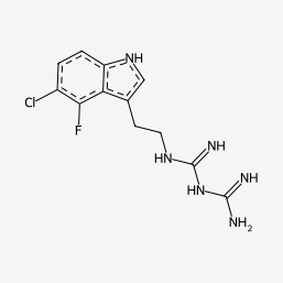 N=C(N)NC(=N)NCCc1c[nH]c2ccc(Cl)c(F)c12